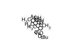 CC(=O)C1C(C)C[C@]2(C)C[C@]3(C)CC4C(C5CC=CN5C(=O)OC(C)(C)C)CCC(C)C4C(=O)C3C(O)[C@]2(C)C1O